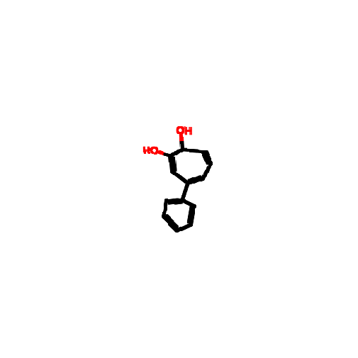 OC1=CC(c2ccccc2)=CC=CC1O